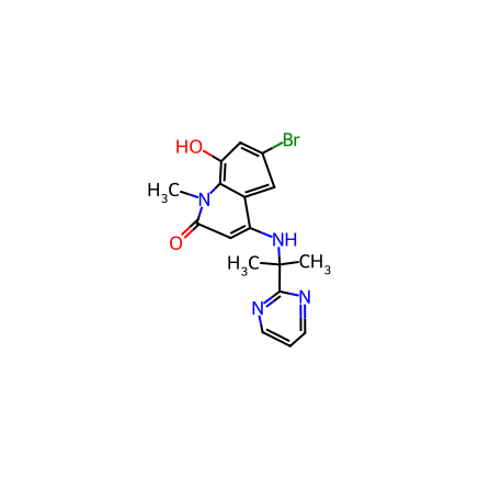 Cn1c(=O)cc(NC(C)(C)c2ncccn2)c2cc(Br)cc(O)c21